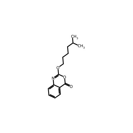 CC(C)CCCCOc1nc2ccccc2c(=O)o1